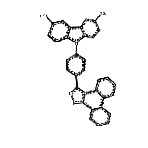 CCCCc1ccc2c(c1)c1cc(CCCC)ccc1n2-c1ccc(-c2nnc3c4ccccc4c4ccccc4n23)cc1